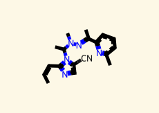 C/C=C\c1ncc(C#N)n1C(C)N(C)/N=C(\C)c1cccc(C)n1